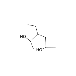 CCC(CC(C)O)C(C)O